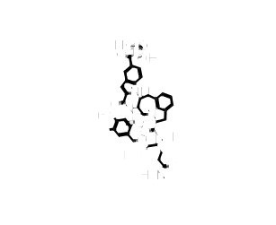 CC(C)c1ccc(CO[C@H](C)[C@H](CCC(N)=O)NC(=O)[C@@H]2Cc3cccc4c3N2C(=O)[C@@H](NC(=O)c2cc3cc(C(=O)P(=O)(O)O)ccc3[nH]2)CC4)cc1F